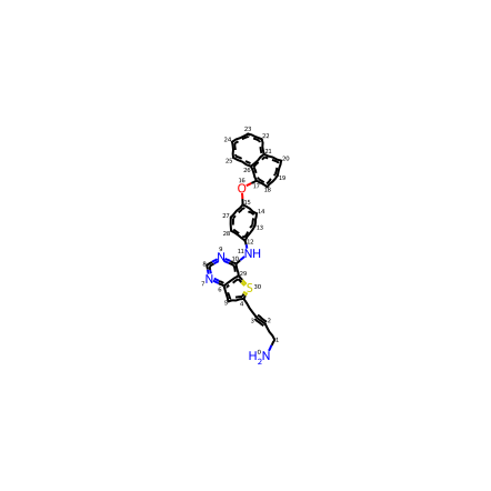 NCC#Cc1cc2ncnc(Nc3ccc(Oc4cccc5ccccc45)cc3)c2s1